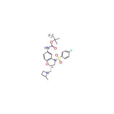 CC1CCN1C[C@H]1CN(S(=O)(=O)c2ccc(F)cc2)c2cc(NC(=O)OC(C)(C)C(F)(F)F)ccc2O1